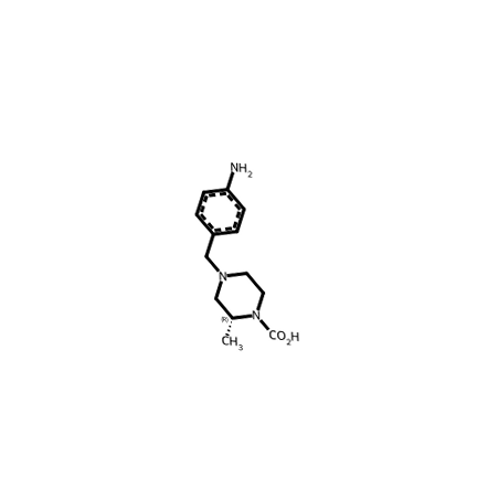 C[C@@H]1CN(Cc2ccc(N)cc2)CCN1C(=O)O